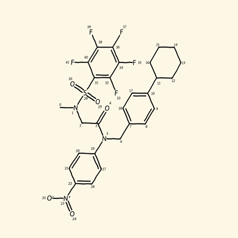 CN(CC(=O)N(Cc1ccc(C2CCCCC2)cc1)c1ccc([N+](=O)[O-])cc1)S(=O)(=O)c1c(F)c(F)c(F)c(F)c1F